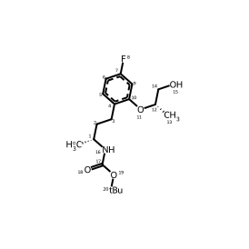 C[C@H](CCc1ccc(F)cc1O[C@@H](C)CO)NC(=O)OC(C)(C)C